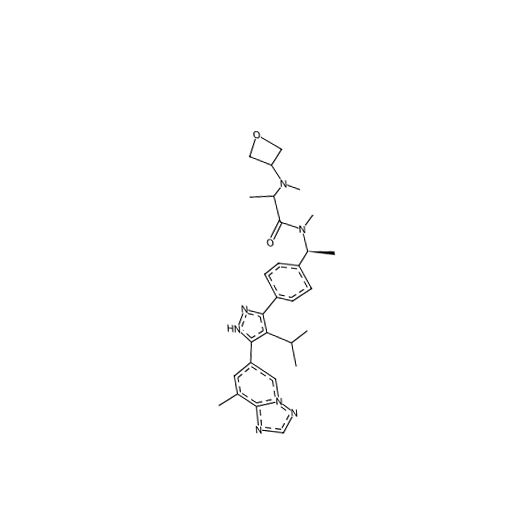 Cc1cc(-c2[nH]nc(-c3ccc([C@H](C)N(C)C(=O)C(C)N(C)C4COC4)cc3)c2C(C)C)cn2ncnc12